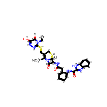 CC(C)Cn1c(SCC2=C(C(=O)O)N3C(=O)C(NC(=O)Cc4ccccc4NC(=O)c4nc5ccccc5[nH]4)[C@H]3SC2)nnc(O)c1=O